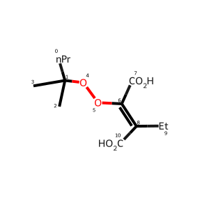 CCCC(C)(C)OO/C(C(=O)O)=C(/CC)C(=O)O